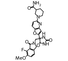 COc1ccc2c(c1F)C(=O)N(C[C@@]1(c3cc4nc(N5CCCC(C(N)=O)C5)ccc4o3)NC(=O)NC1=O)C2